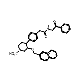 O=C(Cc1ccc(C2CCN(C(=O)O)CC2OCc2ccc3ccccc3c2)cc1)NCC(=O)c1ccccc1